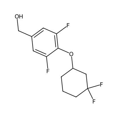 OCc1cc(F)c(OC2CCCC(F)(F)C2)c(F)c1